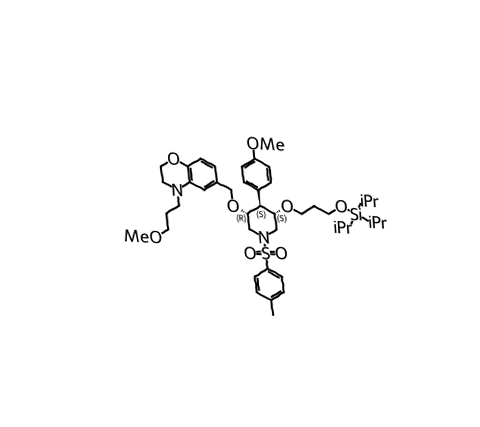 COCCCN1CCOc2ccc(CO[C@H]3CN(S(=O)(=O)c4ccc(C)cc4)C[C@@H](OCCCO[Si](C(C)C)(C(C)C)C(C)C)[C@@H]3c3ccc(OC)cc3)cc21